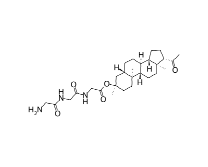 CC(=O)[C@H]1CC[C@H]2[C@@H]3CC[C@H]4C[C@](C)(OC(=O)CNC(=O)CNC(=O)CN)CC[C@]4(C)[C@H]3CC[C@]12C